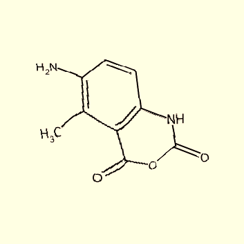 Cc1c(N)ccc2[nH]c(=O)oc(=O)c12